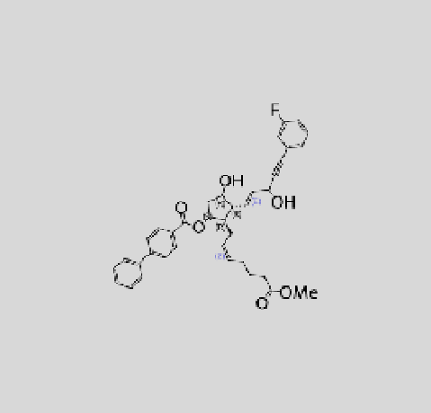 COC(=O)CCC/C=C\C[C@@H]1[C@@H](/C=C/C(O)C#Cc2cccc(F)c2)[C@H](O)C[C@@H]1OC(=O)c1ccc(-c2ccccc2)cc1